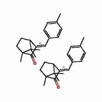 Cc1ccc(/C=C2/C(=O)C3(C)CCC2C3(C)C)cc1.Cc1ccc(/C=C2/C(=O)C3(C)CCC2C3(C)C)cc1